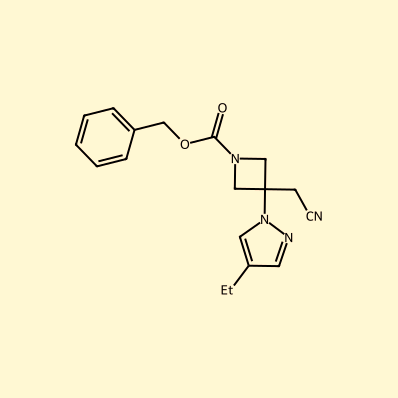 CCc1cnn(C2(CC#N)CN(C(=O)OCc3ccccc3)C2)c1